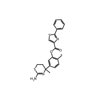 CC1(c2ccc(F)c(OC(=O)c3csc(-c4ccccc4)n3)c2)CCSC(N)=N1